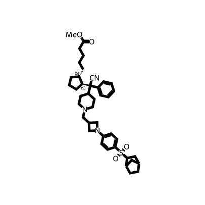 COC(=O)CCCC[C@H]1CCC[C@@H]1C(C#N)(c1ccccc1)C1CCN(CC2CN(c3ccc(S(=O)(=O)C4CC5CCC4C5)cc3)C2)CC1